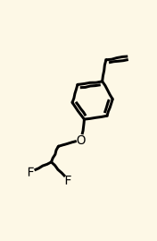 C=Cc1ccc(OCC(F)F)cc1